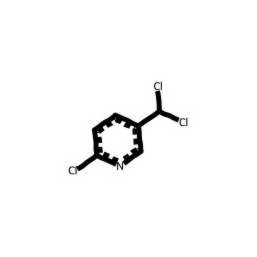 Clc1ccc(C(Cl)Cl)cn1